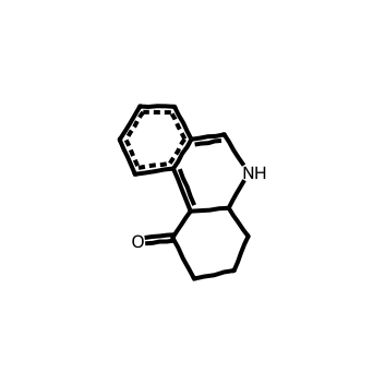 O=C1CCCC2NC=c3ccccc3=C12